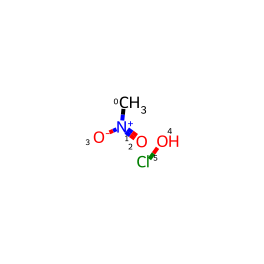 C[N+](=O)[O-].OCl